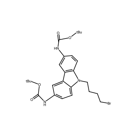 CC(C)(C)OC(=O)Nc1ccc2c(c1)c1cc(NC(=O)OC(C)(C)C)ccc1n2CCCCBr